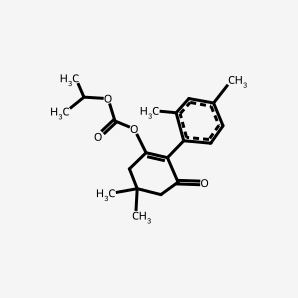 Cc1ccc(C2=C(OC(=O)OC(C)C)CC(C)(C)CC2=O)c(C)c1